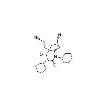 N#CCCC1(CCC#N)C(=O)N(C2CCCCC2)C(=O)N(C2CCCCC2)C1=O